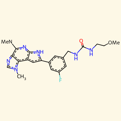 CNc1nc2[nH]c(-c3cc(F)cc(CNC(=O)NCCOC)c3)cc2c2c1ncn2C